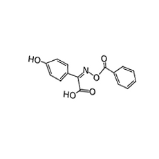 O=C(O)C(=NOC(=O)c1ccccc1)c1ccc(O)cc1